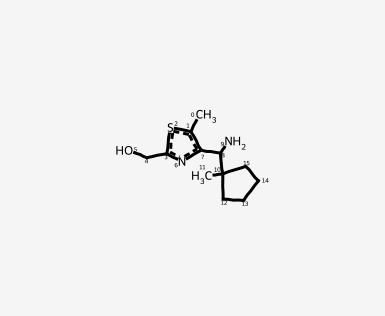 Cc1sc(CO)nc1C(N)C1(C)CCCC1